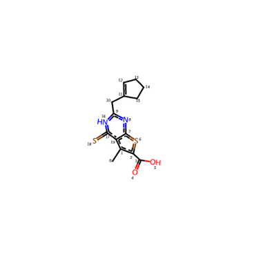 Cc1c(C(=O)O)sc2nc(CC3=CCCC3)[nH]c(=S)c12